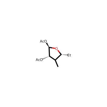 CC[C@H]1O[C@H](OC(C)=O)[C@@H](OC(C)=O)C1C